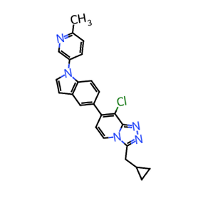 Cc1ccc(-n2ccc3cc(-c4ccn5c(CC6CC6)nnc5c4Cl)ccc32)cn1